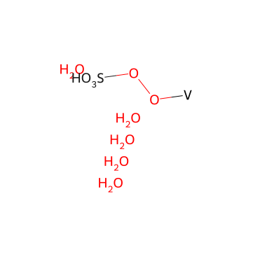 O.O.O.O.O.O=S(=O)(O)O[O][V]